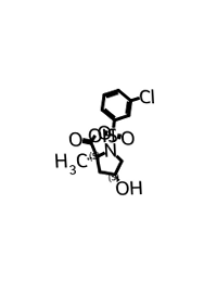 C[C@@]1(C(=O)O)C[C@H](O)CN1S(=O)(=O)c1cccc(Cl)c1